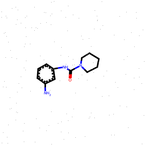 Nc1cccc(NC(=O)N2CCCCC2)c1